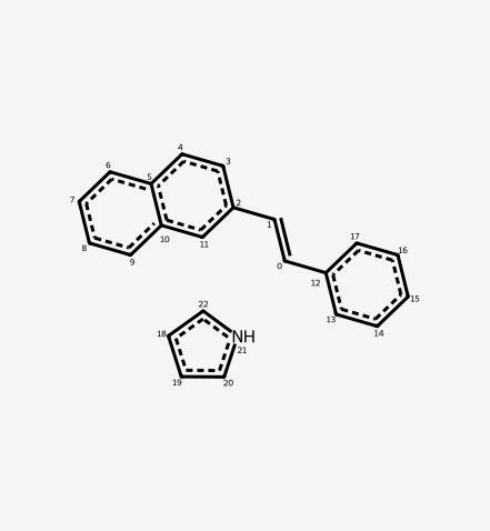 C(=Cc1ccc2ccccc2c1)c1ccccc1.c1cc[nH]c1